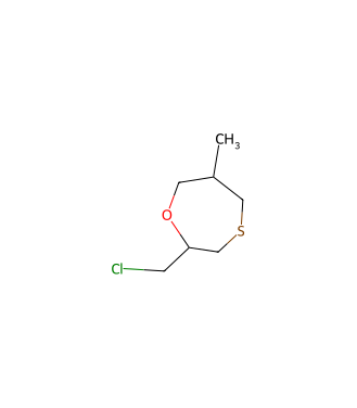 CC1COC(CCl)CSC1